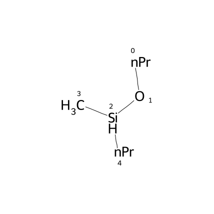 CCCO[SiH](C)CCC